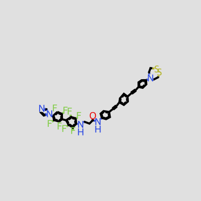 O=C(CCNc1c(F)c(F)c(-c2c(F)c(F)c(-n3ccnc3)c(F)c2F)c(F)c1F)Nc1ccc(C#Cc2ccc(C#Cc3ccc(N4CCSSCC4)cc3)cc2)cc1